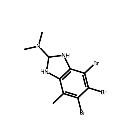 Cc1c(Br)c(Br)c(Br)c2c1NC(N(C)C)N2